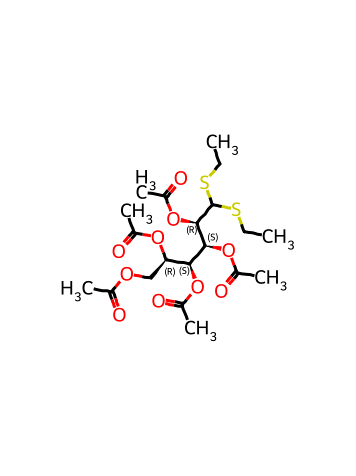 CCSC(SCC)[C@H](OC(C)=O)[C@@H](OC(C)=O)[C@@H](OC(C)=O)[C@@H](COC(C)=O)OC(C)=O